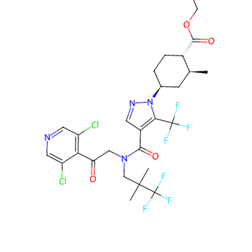 CCOC(=O)[C@H]1CC[C@H](n2ncc(C(=O)N(CC(=O)c3c(Cl)cncc3Cl)CC(C)(C)C(F)(F)F)c2C(F)(F)F)C[C@@H]1C